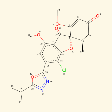 COC1=CC(=O)C[C@@H](C)[C@]12Oc1c(Cl)c(-c3nnc(C(C)C)o3)cc(OC)c1C2=O